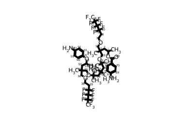 CC(CC(C)(COCCC(F)(F)C(F)(F)C(F)(F)C(F)(F)F)COC(C)(C)CC(C)(C)CC(C)(C)OCC(C)(COCCC(F)(F)C(F)(F)C(F)(F)C(F)(F)F)CC(C)Oc1ccc(N)cc1)OC(=O)c1ccc(N)cc1